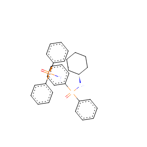 O=P(N[C@@H]1CCCC[C@H]1NP(=O)(c1ccccc1)c1ccccc1)(c1ccccc1)c1ccccc1